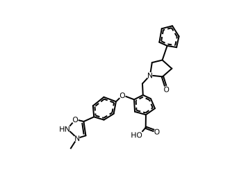 CN1C=C(c2ccc(Oc3cc(C(=O)O)ccc3CN3CC(c4ccccc4)CC3=O)cc2)ON1